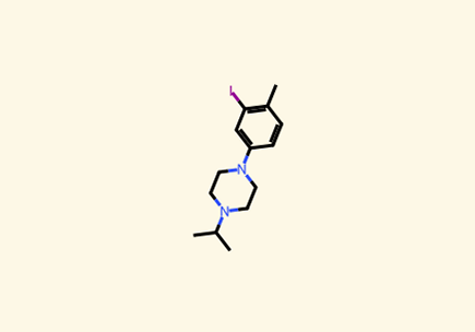 Cc1ccc(N2CCN(C(C)C)CC2)cc1I